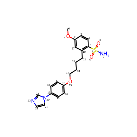 COc1ccc(S(N)(=O)=O)c(CCCCOc2ccc(-n3ccnc3)cc2)c1